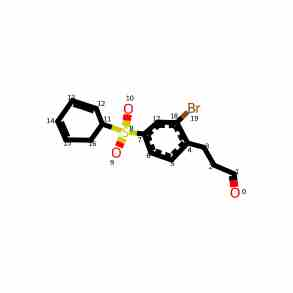 O=CCCc1ccc(S(=O)(=O)C2C=CC=CC2)cc1Br